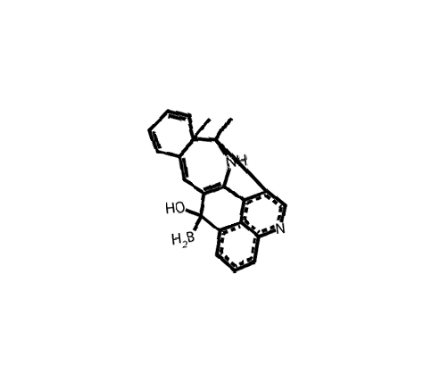 BC1(O)C2=C3NC(C)(c4cnc5cccc1c5c43)C1(C)C=CC=CC1=C2